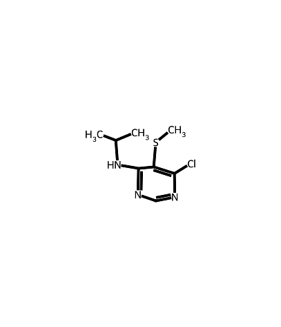 CSc1c(Cl)ncnc1NC(C)C